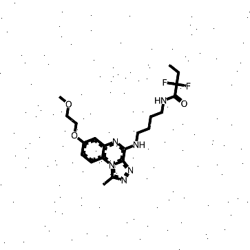 CCC(F)(F)C(=O)NCCCCNc1nc2cc(OCCOC)ccc2n2c(C)nnc12